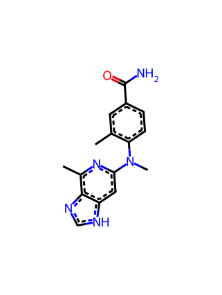 Cc1cc(C(N)=O)ccc1N(C)c1cc2[nH]cnc2c(C)n1